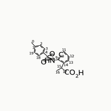 Cc1ccc(S(=O)(=O)Nc2ccccc2C(C)C(=O)O)cc1